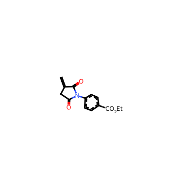 C=C1CC(=O)N(c2ccc(C(=O)OCC)cc2)C1=O